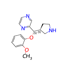 COc1ccccc1O[C@H](c1cnccn1)[C@H]1CCNC1